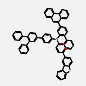 c1ccc(-c2ccc(-c3ccc(N(c4ccc(-c5ccc6sc7ccccc7c6c5)cc4)c4cc(-c5cc6ccccc6c6ccccc56)ccc4-c4ccccc4)cc3)cc2-c2ccccc2)cc1